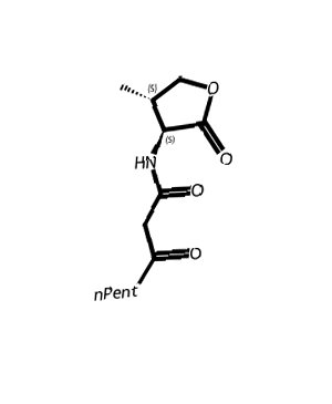 CCCCCC(=O)CC(=O)N[C@@H]1C(=O)OC[C@H]1C